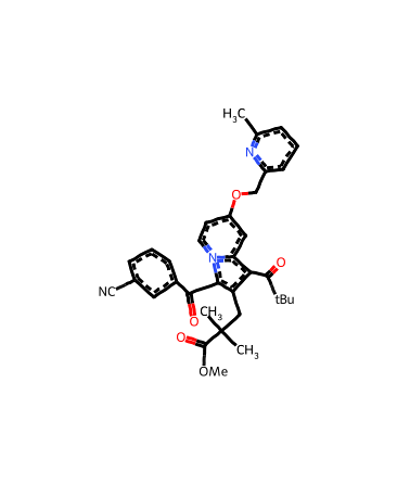 COC(=O)C(C)(C)Cc1c(C(=O)C(C)(C)C)c2cc(OCc3cccc(C)n3)ccn2c1C(=O)c1cccc(C#N)c1